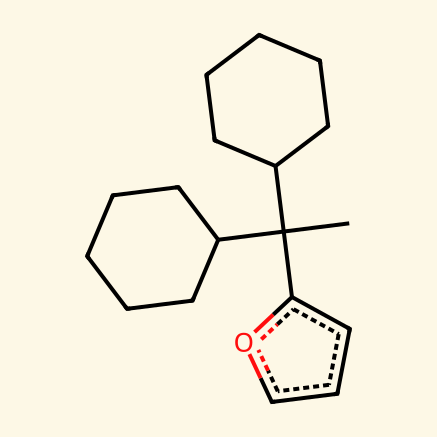 CC(c1ccco1)(C1CCCCC1)C1CCCCC1